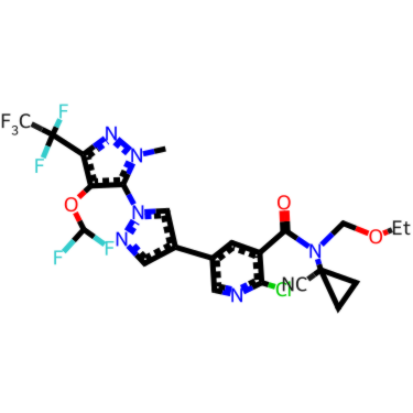 CCOCN(C(=O)c1cc(-c2cnn(-c3c(OC(F)F)c(C(F)(F)C(F)(F)F)nn3C)c2)cnc1Cl)C1(C#N)CC1